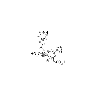 O=C(O)CN1CC(c2ccco2)SCC(NC(CCCCC2CCNCC2)C(=O)O)C1=O